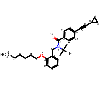 [2H]C(C)(C)N(Cc1ccccc1OCCCCCC(=O)O)C(=O)c1ccc(C#CC2CC2)cc1